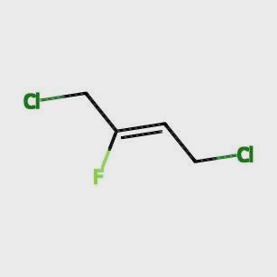 F/C(=C\CCl)CCl